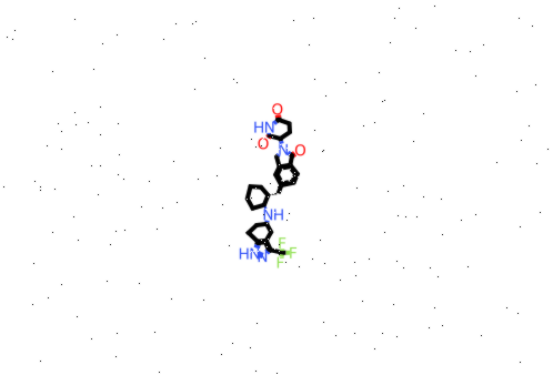 O=C1CCC(N2Cc3cc(C[C@H]4CCCC[C@@H]4NC4CCc5[nH]nc(C(F)(F)F)c5C4)ccc3C2=O)C(=O)N1